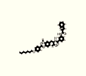 CCCCCCCOc1ccc(C(=O)Oc2ccc(CC(NC(=O)c3cccc(NC(=O)c4cc5ccccc5s4)c3)C(C)=O)cc2OC)cc1